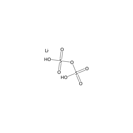 O=S(=O)(O)OS(=O)(=O)O.[Li]